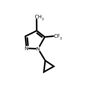 Cc1cnn(C2CC2)c1C(F)(F)F